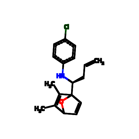 C=CC[C@H](Nc1ccc(Cl)cc1)C12C=CC(O1)C(C)=C2C